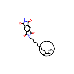 CCCCCCCCC1C2CCCCCCCCCCCC(CC2)C1CCCCCCCCn1c(=O)c2cc3c(=O)[nH]c(=O)c3cc2c1=O